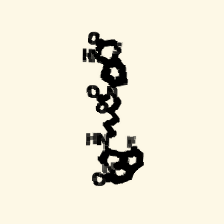 O=C1CSc2ccc(N3C[C@@H](CCCN[C@H]4Cn5c(=O)ccc6ccc(F)c4c65)OC3=O)cc2N1